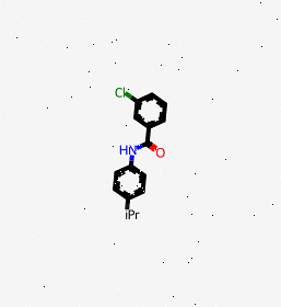 CC(C)c1ccc(NC(=O)c2cccc(Cl)c2)cc1